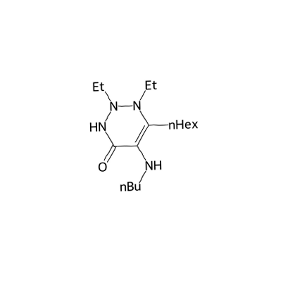 CCCCCCC1=C(NCCCC)C(=O)NN(CC)N1CC